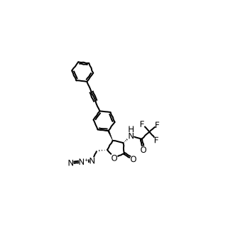 [N-]=[N+]=NC[C@H]1OC(=O)[C@@H](NC(=O)C(F)(F)F)[C@@H]1c1ccc(C#Cc2ccccc2)cc1